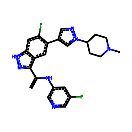 C=C(Nc1cncc(F)c1)c1n[nH]c2cc(F)c(-c3cnn(C4CCN(C)CC4)c3)cc12